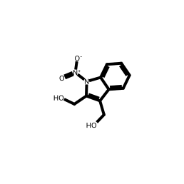 O=[N+]([O-])n1c(CO)c(CO)c2ccccc21